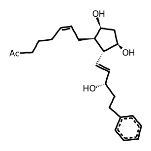 CC(=O)CCC/C=C\C[C@@H]1[C@@H](/C=C/[C@@H](O)CCc2ccccc2)[C@H](O)C[C@@H]1O